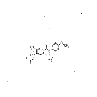 O=C(Nc1ccc(OC(F)(F)F)cc1)c1cc([N+](=O)[O-])c(NCC(F)F)cc1N1CCC(F)C1